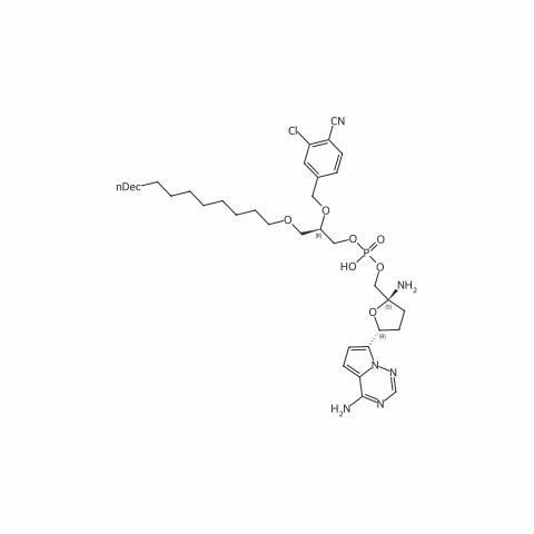 CCCCCCCCCCCCCCCCCCOC[C@H](COP(=O)(O)OC[C@]1(N)CC[C@H](c2ccc3c(N)ncnn23)O1)OCc1ccc(C#N)c(Cl)c1